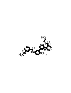 Cc1ccc(NC(=O)c2ccnc(C(C)(F)F)c2)cc1-c1cnc2c(c1)[C@@H]1CCOC[C@H]1C(=O)N2CCO